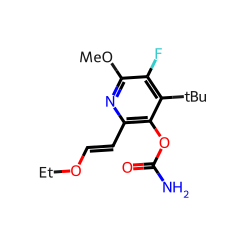 CCOC=Cc1nc(OC)c(F)c(C(C)(C)C)c1OC(N)=O